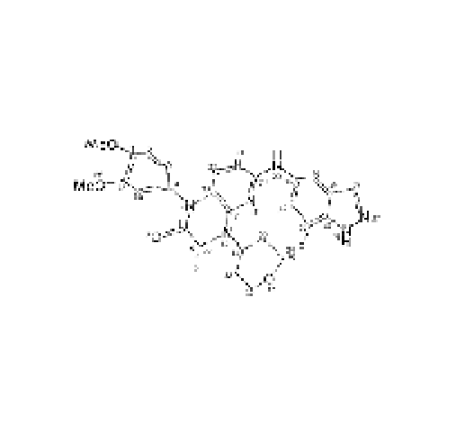 COc1ccc(N2C(=O)[C@@H](C)N(C3CCOCC3)c3nc(Nc4cc(F)c5[nH]ncc5c4)ncc32)cc1OC